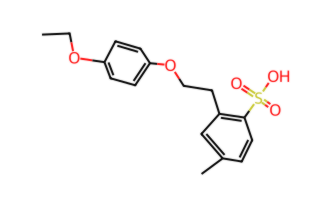 CCOc1ccc(OCCc2cc(C)ccc2S(=O)(=O)O)cc1